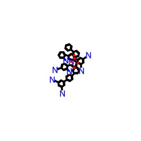 N#Cc1cc(C#N)cc(-c2ccc3c4ccccc4n(-c4cc(C#N)cc(-n5c6ccccc6c6ccc(-c7cc(C#N)cc(C#N)c7)cc65)c4-c4cccc(-c5cccc(-c6ccccc6)c5)n4)c3c2)c1